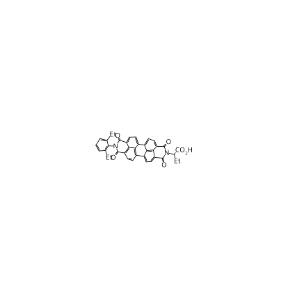 CCc1cccc(CC)c1N1C(=O)c2ccc3c4ccc5c6c(ccc(c7ccc(c2c37)C1=O)c64)C(=O)N(C(CC)C(=O)O)C5=O